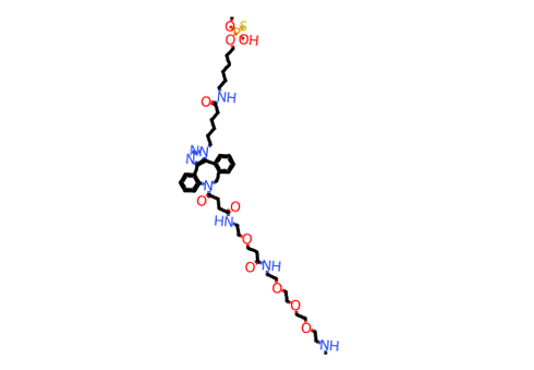 CNCCOCCOCCOCCNC(=O)CCOCCNC(=O)CCC(=O)N1Cc2ccccc2-c2c(nnn2CCCCCC(=O)NCCCCCCOP(O)(=S)OC)-c2ccccc21